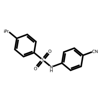 CC(C)c1ccc(S(=O)(=O)Nc2ccc(C#N)cc2)cc1